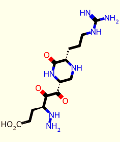 N=C(N)NCCC[C@@H]1NC[C@H](C(=O)C(=O)[C@H](CCC(=O)O)NN)NC1=O